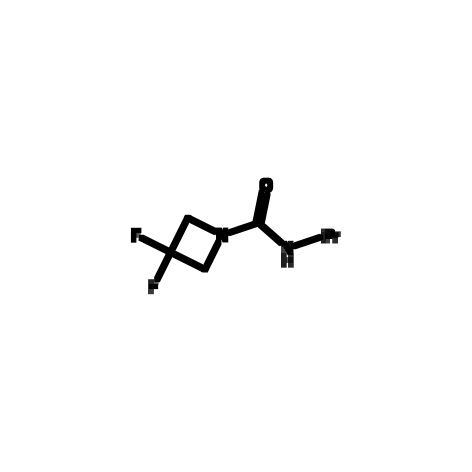 CC(C)NC(=O)N1CC(F)(F)C1